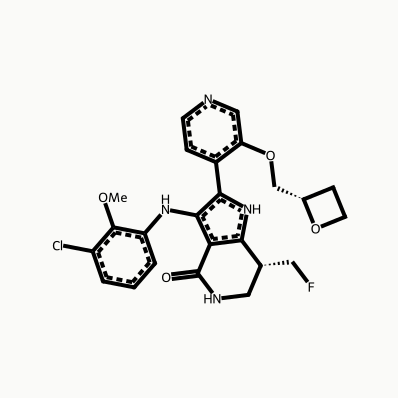 COc1c(Cl)cccc1Nc1c(-c2ccncc2OC[C@@H]2CCO2)[nH]c2c1C(=O)NC[C@H]2CF